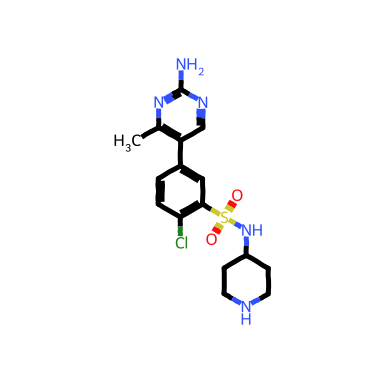 Cc1nc(N)ncc1-c1ccc(Cl)c(S(=O)(=O)NC2CCNCC2)c1